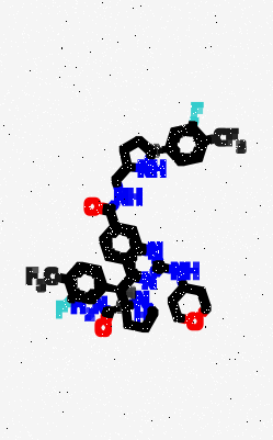 NC(=O)[C@@]1([C@@H](c2ccc(C(F)(F)F)c(F)c2)c2nc(NC3CCOCC3)nc3cc(C(=O)NCC4CC[C@H](c5ccc(C(F)(F)F)c(F)c5)N4)ccc23)CCCN1